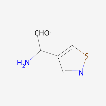 NC([C]=O)c1cnsc1